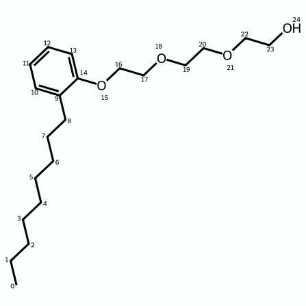 CCCCCCCCCc1ccccc1OCCOCCOCCO